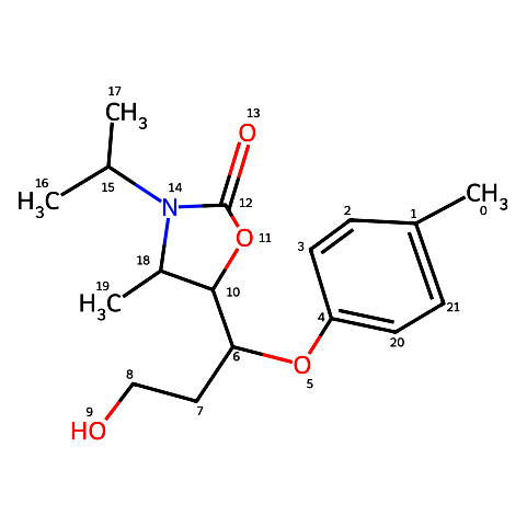 Cc1ccc(OC(CCO)C2OC(=O)N(C(C)C)C2C)cc1